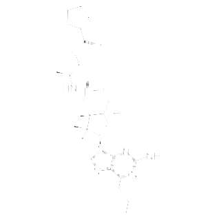 CCOc1nc(N)nc2c1ncn2[C@@H]1O[C@@H]2CO[P@@](=O)(N[C@@H](C)COC(=O)C3CCCC3)O[C@H]2[C@@]1(C)Cl